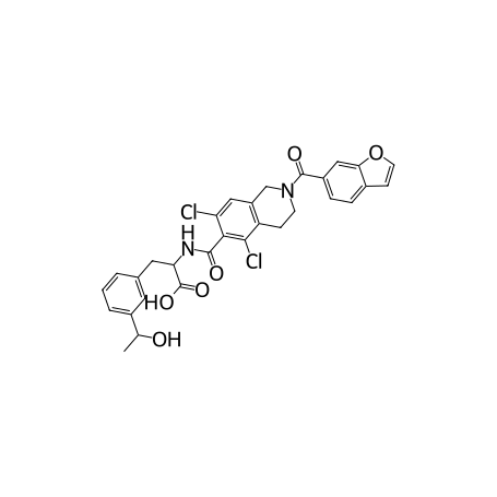 CC(O)c1cccc(CC(NC(=O)c2c(Cl)cc3c(c2Cl)CCN(C(=O)c2ccc4ccoc4c2)C3)C(=O)O)c1